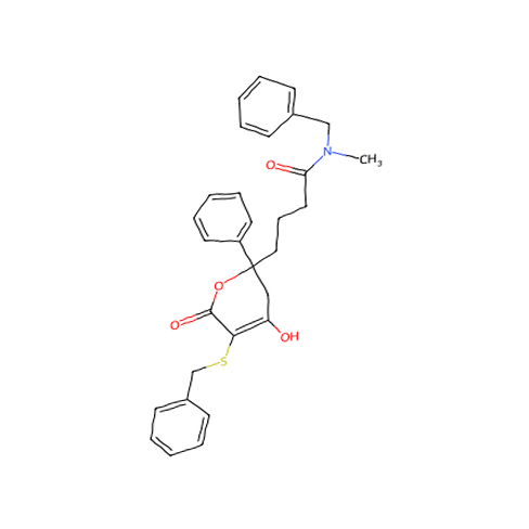 CN(Cc1ccccc1)C(=O)CCCC1(c2ccccc2)CC(O)=C(SCc2ccccc2)C(=O)O1